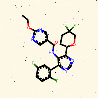 CCOc1ncc(C(=O)Nc2c(-c3cc(F)ccc3F)ncnc2C2CCC(F)(F)CO2)cn1